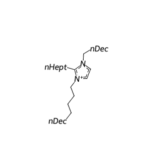 CCCCCCCCCCCCCC[n+]1ccn(CCCCCCCCCCC)c1CCCCCCC